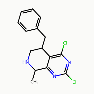 CC1NCC(Cc2ccccc2)c2c(Cl)nc(Cl)nc21